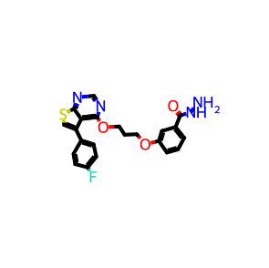 NNC(=O)c1cccc(OCCCOc2ncnc3scc(-c4ccc(F)cc4)c23)c1